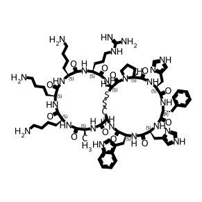 C[C@@H]1NC(=O)[C@@H]2CSS[C@H](NC(=O)[C@H](CCCNC(=N)N)NC(=O)[C@H](CCCCN)NC(=O)[C@H](CCCCN)NC(=O)[C@H](CCCCN)NC1=O)C(=O)N1CCC[C@H]1C(=O)N[C@@H](Cc1c[nH]cn1)C(=O)N[C@H](Cc1ccccc1)C(=O)N[C@@H](Cc1c[nH]cn1)C(=O)N[C@@H](Cc1c[nH]c3ccccc13)C(=O)N2